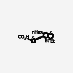 CCCCCCc1cc2c(cc1C#Cc1ccc(CC(=O)O)s1)C(CC)(CC)CCS2